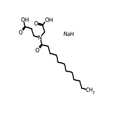 CCCCCCCCCCCC(=O)N(CCC(=O)O)CC(=O)O.[NaH]